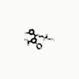 COC(=O)NCCOC(c1cccc(Cl)c1)c1cc(C(=O)O)cc(N2CCOCC2)c1